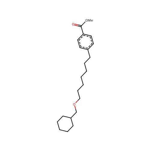 COC(=O)c1ccc(CCCCCCCOCC2CCCCC2)cc1